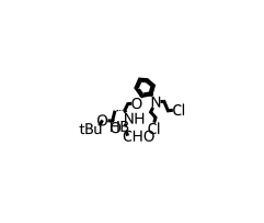 CC(C)(C)OC(=O)C[C@H](COc1ccccc1N(CCCl)CCCl)NBC=O